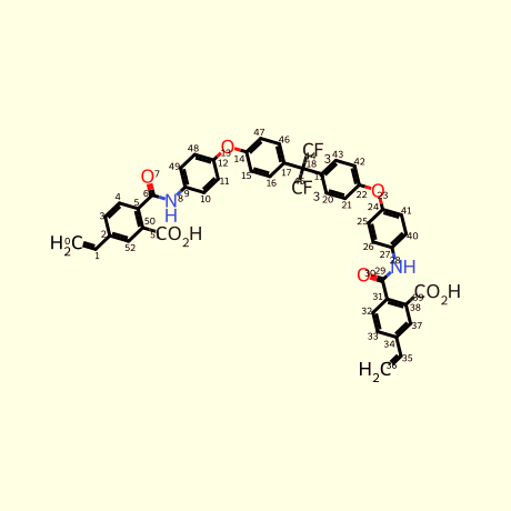 C=Cc1ccc(C(=O)Nc2ccc(Oc3ccc(C(c4ccc(Oc5ccc(NC(=O)c6ccc(C=C)cc6C(=O)O)cc5)cc4)(C(F)(F)F)C(F)(F)F)cc3)cc2)c(C(=O)O)c1